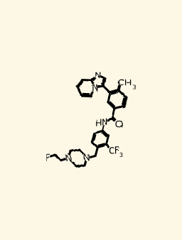 Cc1ccc(C(=O)Nc2ccc(CN3CCN(CCF)CC3)c(C(F)(F)F)c2)cc1-c1cnc2ccccn12